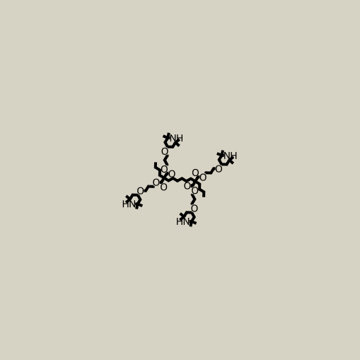 CCCCC(CCCCCCC(CCCC)(C(=O)OCCCOC1CC(C)(C)NC(C)(C)C1)C(=O)OCCCOC1CC(C)(C)NC(C)(C)C1)(C(=O)OCCCOC1CC(C)(C)NC(C)(C)C1)C(=O)OCCCOC1CC(C)(C)NC(C)(C)C1